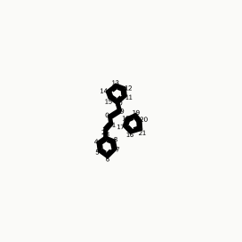 C(/C=C/c1ccccc1)=C\c1ccccc1.c1ccccc1